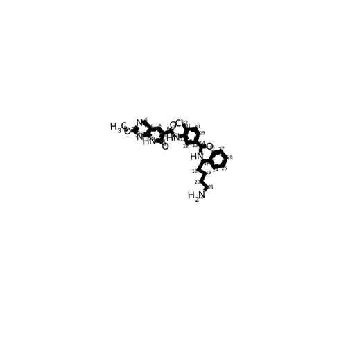 COc1ncc2cc(C(=O)Nc3cc(C(=O)NC(CCCCN)c4ccccc4)ccc3Cl)c(=O)[nH]c2n1